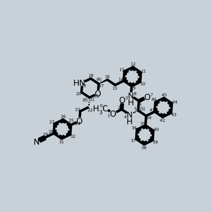 COC(=O)N[C@H](C(=O)Nc1ccccc1CC[C@@H]1CNC[C@@H](CCOc2ccc(C#N)cc2)O1)C(c1ccccc1)c1ccccc1